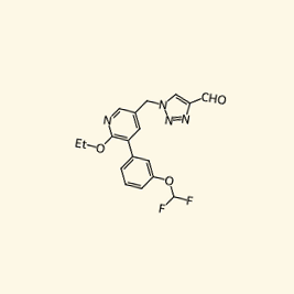 CCOc1ncc(Cn2cc(C=O)nn2)cc1-c1cccc(OC(F)F)c1